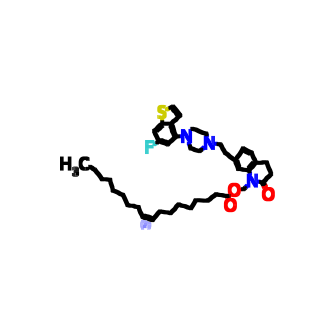 CCCCCCCC/C=C\CCCCCCCC(=O)OCN1C(=O)CCc2ccc(CCN3CCN(c4cc(F)cc5sccc45)CC3)cc21